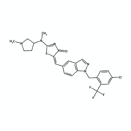 CN1CCC(N(C)C2=NC(=O)C(=Cc3ccc4c(cnn4Cc4ccc(Cl)cc4C(F)(F)F)c3)S2)C1